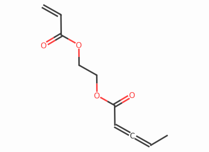 C=CC(=O)OCCOC(=O)C=C=CC